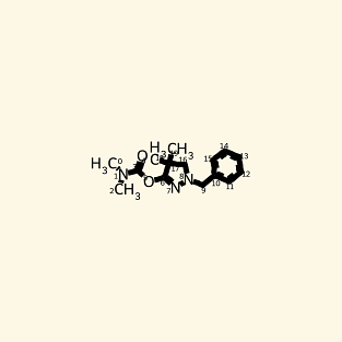 CN(C)C(=O)OC1=NN(Cc2ccccc2)CC1(C)C